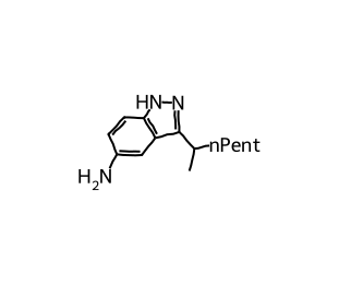 CCCCCC(C)c1n[nH]c2ccc(N)cc12